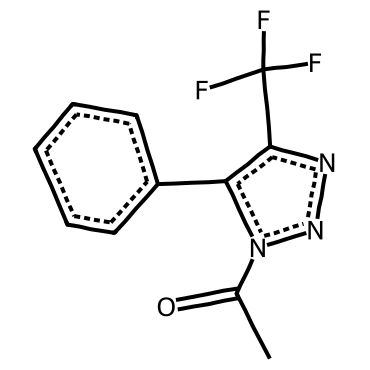 CC(=O)n1nnc(C(F)(F)F)c1-c1ccccc1